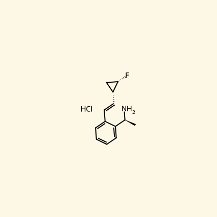 C[C@H](N)c1ccccc1/C=C/[C@@H]1C[C@@H]1F.Cl